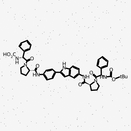 CC(C)(C)OC(=O)N[C@@H](C(=O)N1CCC[C@H]1C(=O)Nc1ccc2[nH]c(-c3ccc(NC(=O)[C@@H]4CCCN4C(=O)[C@H](NC(=O)O)c4ccccc4)cc3)cc2c1)c1ccccc1